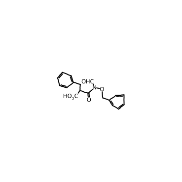 O=CN(OCc1ccccc1)C(=O)C(Cc1ccccc1)C(=O)O